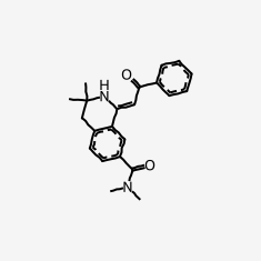 CN(C)C(=O)c1ccc2c(c1)/C(=C/C(=O)c1ccccc1)NC(C)(C)C2